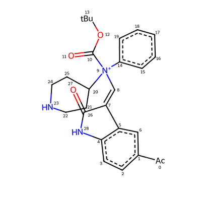 CC(=O)c1ccc2c(c1)C(=C[N+](C(=O)OC(C)(C)C)(c1ccccc1)C1CCNCC1)C(=O)N2